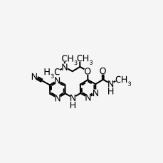 CNC(=O)c1nnc(Nc2cnc(C#N)cn2)cc1OC(C)CN(C)C